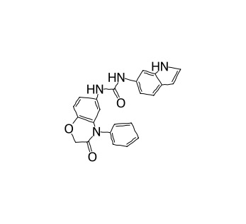 O=C(Nc1ccc2c(c1)N(c1ccccc1)C(=O)CO2)Nc1ccc2cc[nH]c2c1